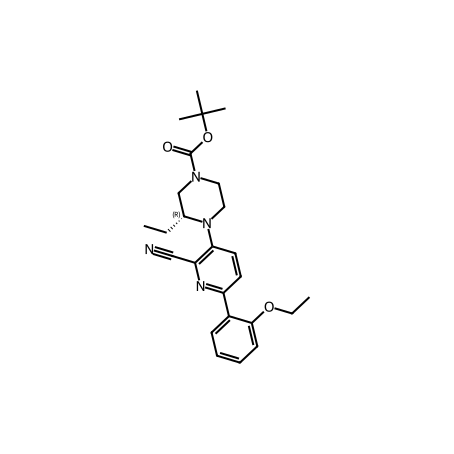 CCOc1ccccc1-c1ccc(N2CCN(C(=O)OC(C)(C)C)C[C@H]2CC)c(C#N)n1